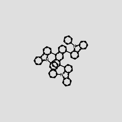 c1ccc(-n2c3ccccc3c3cccc(-c4cccc5c(-c6cccc7c8ccccc8n(-c8ccccc8)c67)c6cccc(-c7cccc8c9ccccc9n(-c9ccccc9)c78)c6cc45)c32)cc1